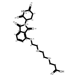 O=C(O)CCOCCOCCOc1cccc2c1C(=O)N(C1CCC(=O)NC1=O)C2=O